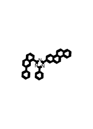 c1ccc(-c2ccc3cccc(-c4nc(-c5ccccc5)nc(-c5ccc6c(ccc7c8ccccc8ccc67)c5)n4)c3c2)cc1